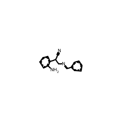 N#CC(CN=Cc1ccccc1)c1ccccc1N